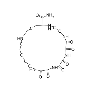 NC(=O)C1CCCNCCCCCNC(=O)C(=O)NC(=O)C(=O)NC(=O)C(=O)NCCN1